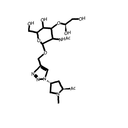 CC(=O)NC1C(OCc2cn([C@@H]3C[C@@H](C(C)=O)N(C)C3)nn2)OC(CO)C(O)C1O[C@H](O)CO